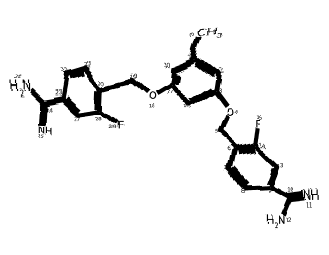 Cc1cc(OCc2ccc(C(=N)N)cc2F)cc(OCc2ccc(C(=N)N)cc2F)c1